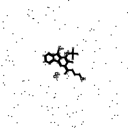 CC(CCCO)=c1cc2c(c(NC(C)(C)C)c1C)=[C]([Zr+2])c1ccccc1-2.[Cl-].[Cl-]